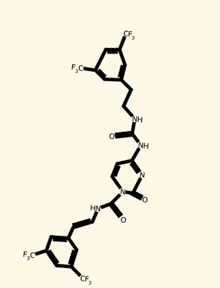 O=C(NCCc1cc(C(F)(F)F)cc(C(F)(F)F)c1)Nc1ccn(C(=O)N/C=C/c2cc(C(F)(F)F)cc(C(F)(F)F)c2)c(=O)n1